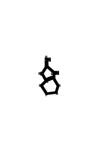 N=c1[nH]c2c(o1)CCCC2